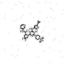 CS(=O)(=O)N1CCN(c2nc(Nc3cc(C4CC4)n[nH]3)nc(N3CC(F)(F)C[C@H]3C(=O)Nc3cnccn3)n2)CC1